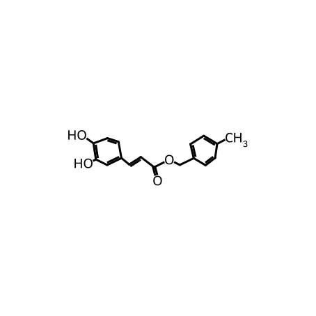 Cc1ccc(COC(=O)/C=C/c2ccc(O)c(O)c2)cc1